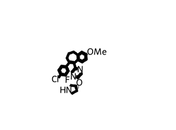 COc1ccc2c(c1)CCCC(c1ccc(Cl)c(F)c1)=C2c1cnc(O[C@H]2CCNC2)cn1